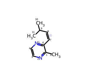 Cc1nccnc1/C=C\C(C)C